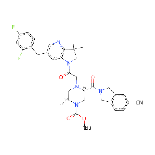 C[C@@H]1CN(CC(=O)N2CC(C)(C)c3ncc(Cc4ccc(F)cc4F)cc32)[C@H](C(=O)N2Cc3ccc(C#N)cc3C2)CN1C(=O)OC(C)(C)C